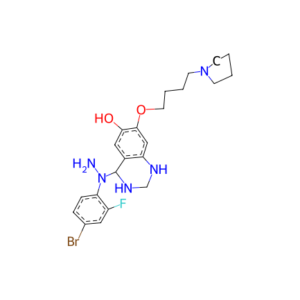 NN(c1ccc(Br)cc1F)C1NCNc2cc(OCCCCN3CCCC3)c(O)cc21